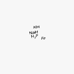 P.[Fe].[KH].[NaH]